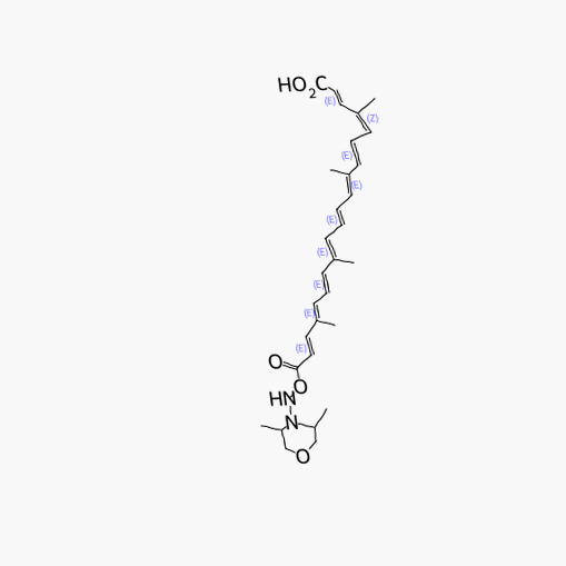 CC(=C/C=C/C(C)=C/C=C/C=C(C)/C=C/C=C(C)/C=C/C(=O)ONN1C(C)COCC1C)/C=C/C(=O)O